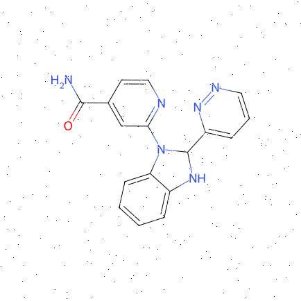 NC(=O)c1ccnc(N2c3ccccc3NC2c2cccnn2)c1